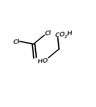 C=C(Cl)Cl.O=C(O)CO